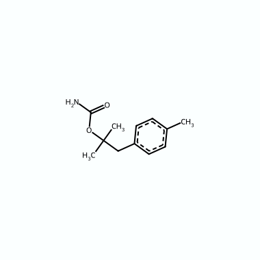 Cc1ccc(CC(C)(C)OC(N)=O)cc1